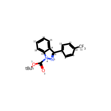 CC(C)(C)OC(=O)n1nc(-c2ccc(C(F)(F)F)cc2)c2ccccc21